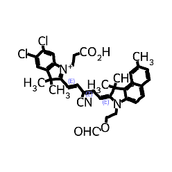 Cc1ccc2ccc3c(c2c1)C(C)(C)\C(=C/C=C(C#N)/C=C/C1=[N+](CCC(=O)O)c2cc(Cl)c(Cl)cc2C1(C)C)N3CCOC=O